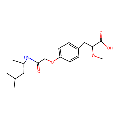 COC(Cc1ccc(OCC(=O)NC(C)CC(C)C)cc1)C(=O)O